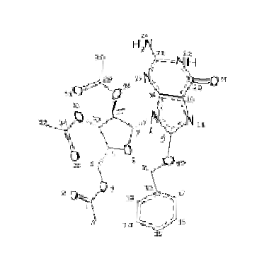 CC(=O)OC[C@H]1O[C@@H](n2c(OCc3ccccc3)nc3c(=O)[nH]c(N)nc32)[C@H](OC(C)=O)[C@H]1OC(C)=O